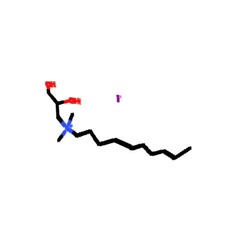 CCCCCCCCCC[N+](C)(C)CC(O)CO.[I-]